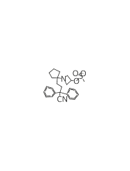 CS(=O)(=O)OC1CN(C2(CCC(C#N)(c3ccccc3)c3ccccc3)CCCC2)C1